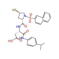 CC(C)c1ccc(NC(=O)[C@H](CC(=O)O)NC(=O)[C@@H]2C[C@@H](S)CN2S(=O)(=O)c2ccc3ccccc3c2)cc1